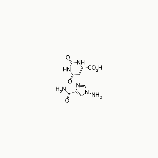 NC(=O)c1cn(N)cn1.O=C(O)c1cc(=O)[nH]c(=O)[nH]1